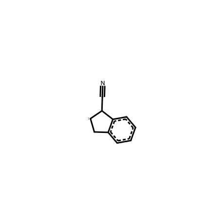 N#CC1[C]Cc2ccccc21